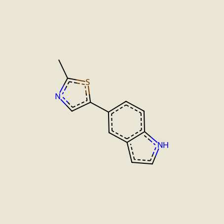 Cc1ncc(-c2ccc3[nH]ccc3c2)s1